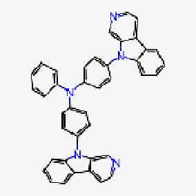 c1ccc(N(c2ccc(-n3c4ccccc4c4ccncc43)cc2)c2ccc(-n3c4ccccc4c4ccncc43)cc2)cc1